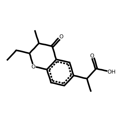 CCC1Oc2ccc(C(C)C(=O)O)cc2C(=O)C1C